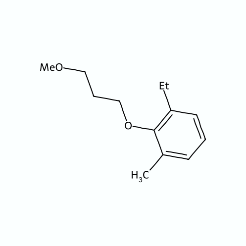 CCc1cccc(C)c1OCCCOC